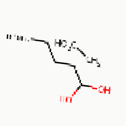 CC(=O)O.CCCCCCCCC(O)O